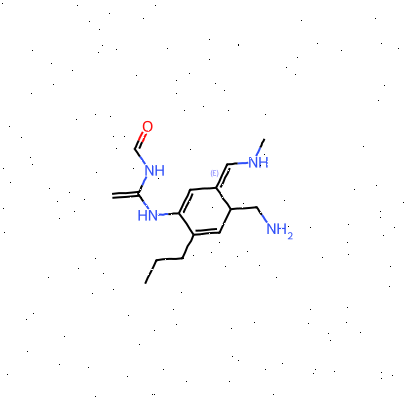 C=C(NC=O)NC1=C/C(=C/NC)C(CN)C=C1CCC